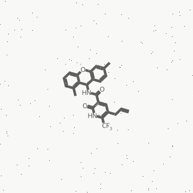 C=CCc1cc(C(=O)NC2c3ccc(C)cc3Oc3cccc(C)c32)c(=O)[nH]c1C(F)(F)F